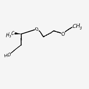 COCCO[C@H](C)CO